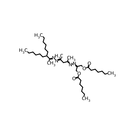 CCCCCCC(=O)OCC(COC(=O)CCCCCC)=N/N=C(\C)C/C(C)=N/N=C(\C)C(CCCCCC)CCCCCC